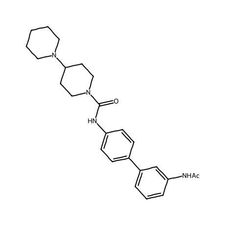 CC(=O)Nc1cccc(-c2ccc(NC(=O)N3CCC(N4CCCCC4)CC3)cc2)c1